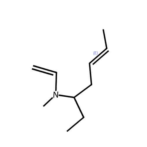 C=CN(C)C(CC)C/C=C/C